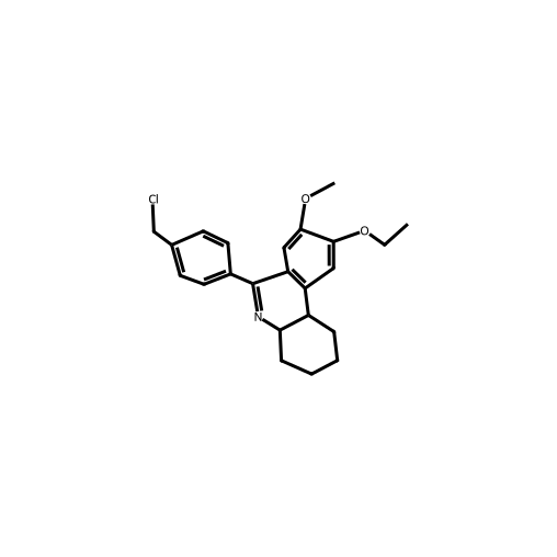 CCOc1cc2c(cc1OC)C(c1ccc(CCl)cc1)=NC1CCCCC21